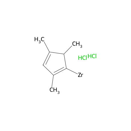 CC1=CC(C)=[C]([Zr])C1C.Cl.Cl